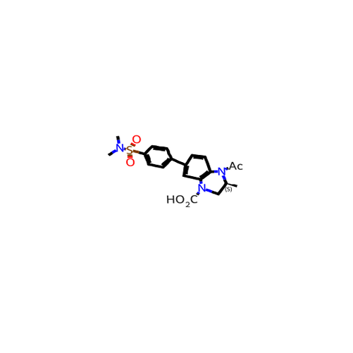 CC(=O)N1c2ccc(-c3ccc(S(=O)(=O)N(C)C)cc3)cc2N(C(=O)O)C[C@@H]1C